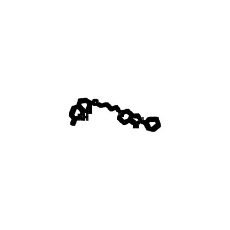 C=C1C=Cc2ccc(OCCCCN3CCc4nn(-c5ccccc5)cc4C3)nc2N1